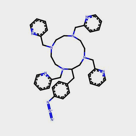 [N-]=[N+]=Nc1ccc(CC2CN(Cc3ccccn3)CCN(Cc3ccccn3)CCN(Cc3ccccn3)CCN2Cc2ccccn2)cc1